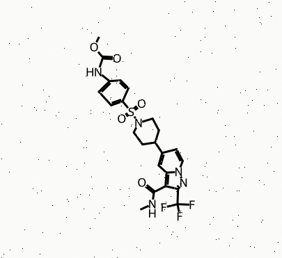 CNC(=O)c1c(C(F)(F)F)nn2ccc(C3CCN(S(=O)(=O)c4ccc(NC(=O)OC)cc4)CC3)cc12